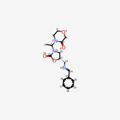 CC(N1CCOCC1=O)N1C[C@H](C/N=C/c2ccccc2)OC1=O